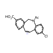 CC(=O)N1Cc2cc(C(=O)O)ccc2/C=C\c2cc(Cl)ccc21